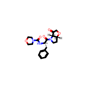 O=C1CO[C@@H]2CCN(C(=O)[C@H](Cc3ccccc3)NC(=O)N3CCOCC3)[C@H]12